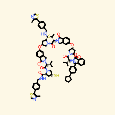 Cc1ncsc1-c1ccc(CNC(=O)[C@@H]2C[C@@H](S)CN2C(=O)[C@H](C(C)C)N2Cc3cc(O[C@@H]4C[C@@H](C(=S)NCc5ccc(-c6scnc6C)cc5)N(C(=O)[C@H](C(C)C)N5Cc6cc(O[C@@H]7C[C@@H](C(=O)NCc8ccc(C9CCCC9)cc8)N(C(=O)[C@H](C(C)C)N8Cc9ccccc9C8=O)C7)ccc6C5=O)C4)ccc3C2=O)cc1